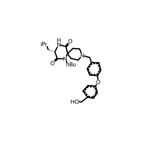 CCCCN1C(=O)[C@H](CC(C)C)NC(=O)C12CCN(Cc1ccc(Oc3ccc(CO)cc3)cc1)CC2